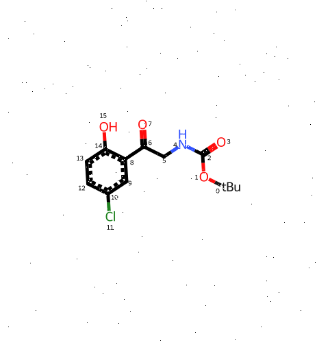 CC(C)(C)OC(=O)NCC(=O)c1cc(Cl)ccc1O